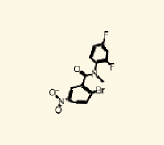 CN(C(=O)c1cc([N+](=O)[O-])ccc1Br)c1ccc(F)cc1F